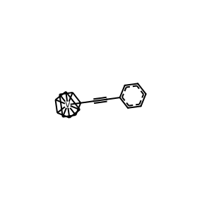 C(#C[C]12[CH]3[CH]4[CH]5[CH]1[V]45321678[CH]2[CH]1[CH]6[CH]7[CH]28)c1ccccc1